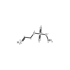 C=CCOS(=O)(=O)ON